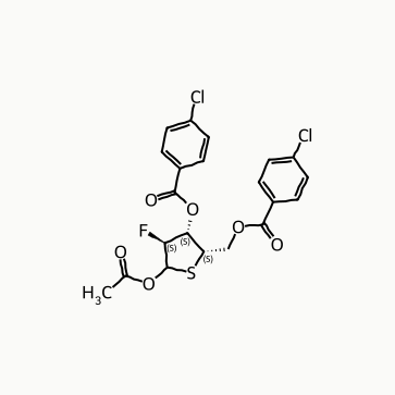 CC(=O)OC1S[C@@H](COC(=O)c2ccc(Cl)cc2)[C@@H](OC(=O)c2ccc(Cl)cc2)[C@@H]1F